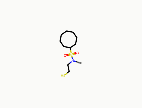 CC(=O)N(CCS)S(=O)(=O)C1CCCCCCC1